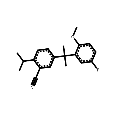 COc1ccc(F)cc1C(C)(C)c1ccc(C(C)C)c(C#N)c1